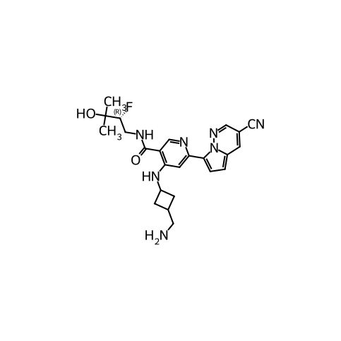 CC(C)(O)[C@H](F)CNC(=O)c1cnc(-c2ccc3cc(C#N)cnn23)cc1NC1CC(CN)C1